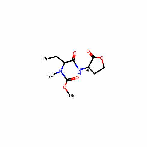 CC(C)CC(C(=O)N[C@@H]1CCOC1=O)N(C)C(=O)OC(C)(C)C